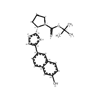 CC(C)(C)OC(=O)N1CCC[C@H]1c1nc(-c2ccc3cc(O)ccc3c2)no1